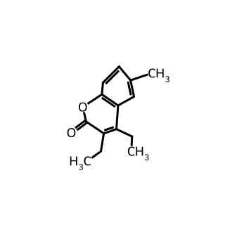 CCc1c(CC)c2cc(C)ccc2oc1=O